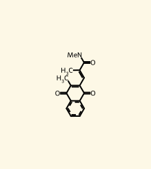 CNC(=O)C(C)=CC1=C(C)C(=O)c2ccccc2C1=O